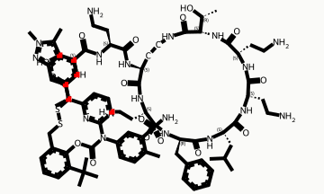 Cc1ccc(N(C(=O)Oc2c(CSSCC(=O)N[C@@H](CO)C(=O)N[C@@H](CCN)C(=O)N[C@H]3CCNC(=O)[C@H]([C@@H](C)O)NC(=O)[C@H](CCN)NC(=O)[C@H](CCN)NC(=O)[C@H](CC(C)C)NC(=O)[C@@H](Cc4ccccc4)NC(=O)[C@H](CCN)NC3=O)cccc2C(C)(C)C)c2nccc(N(C)c3ccc4c(C)n(C)nc4c3)n2)cc1S(N)(=O)=O